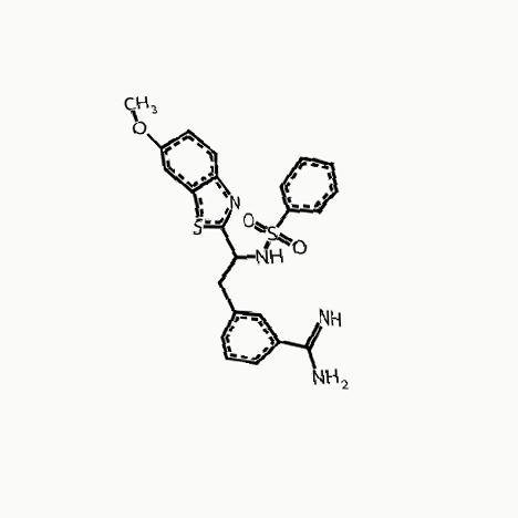 COc1ccc2nc(C(Cc3cccc(C(=N)N)c3)NS(=O)(=O)c3ccccc3)sc2c1